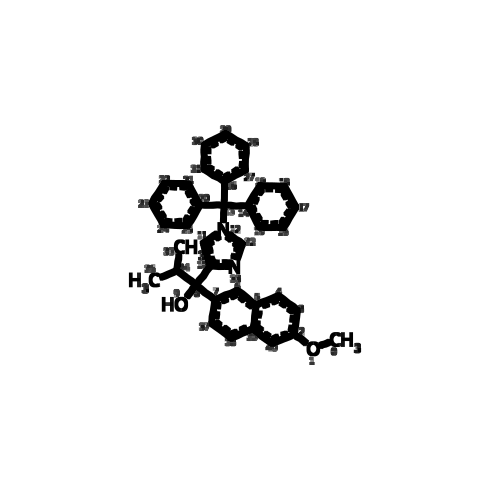 COc1ccc2cc(C(O)(c3cn(C(c4ccccc4)(c4ccccc4)c4ccccc4)cn3)C(C)C)ccc2c1